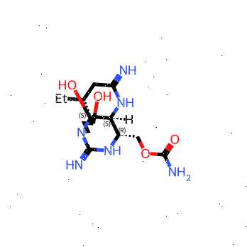 CCC1CC(=N)N[C@H]2[C@H](COC(N)=O)NC(=N)N3CCC(O)(O)[C@]123